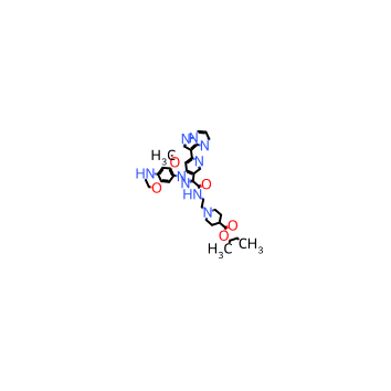 CCC(C)OC(=O)C1CCN(CCNC(=O)c2nn(-c3cc4c(cc3OC)NCCO4)c3cc(-c4cnn5cccnc45)ncc23)CC1